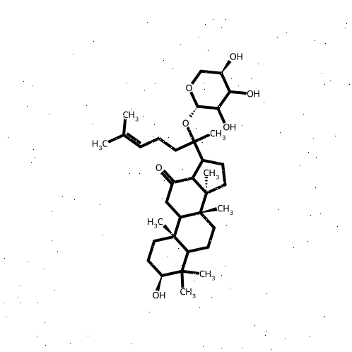 CC(C)=CCCC(C)(O[C@@H]1OC[C@@H](O)C(O)C1O)C1CC[C@]2(C)C1C(=O)CC1[C@@]3(C)CC[C@H](O)C(C)(C)C3CC[C@]12C